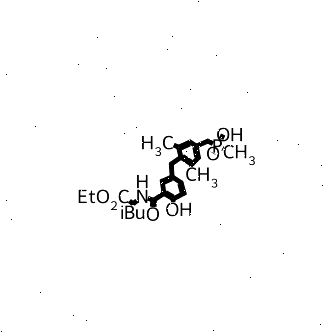 CCOC(=O)C(NC(=O)c1cc(Cc2c(C)cc(CP(C)(=O)O)cc2C)ccc1O)C(C)CC